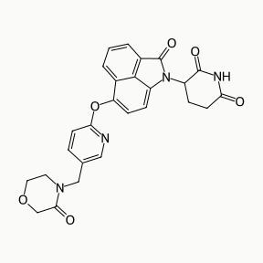 O=C1CCC(N2C(=O)c3cccc4c(Oc5ccc(CN6CCOCC6=O)cn5)ccc2c34)C(=O)N1